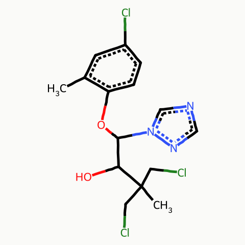 Cc1cc(Cl)ccc1OC(C(O)C(C)(CCl)CCl)n1cncn1